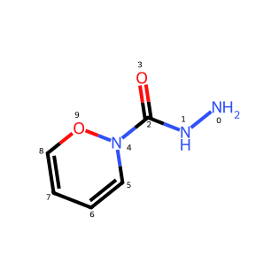 NNC(=O)N1C=CC=CO1